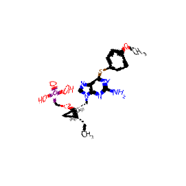 CC[C@@H]1C[C@@]1(Cn1cnc2c(Sc3ccc(OC)cc3)nc(N)nc21)OCP(=O)(O)O